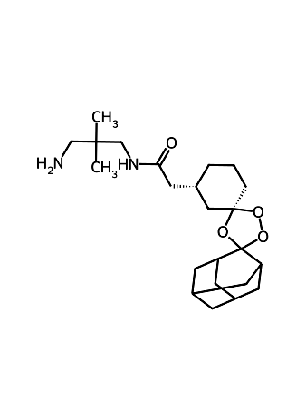 CC(C)(CN)CNC(=O)C[C@@H]1CCC[C@]2(C1)OOC1(O2)C2CC3CC(C2)CC1C3